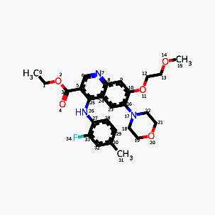 CCOC(=O)c1cnc2cc(OCCOC)c(N3CCOCC3)cc2c1Nc1ccc(C)cc1F